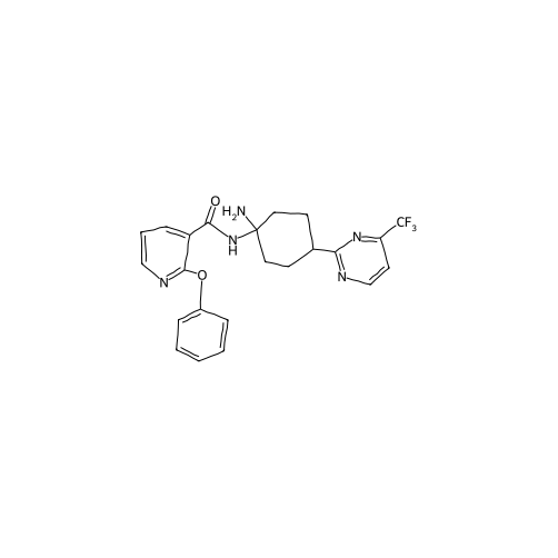 NC1(NC(=O)c2cccnc2Oc2ccccc2)CCC(c2nccc(C(F)(F)F)n2)CC1